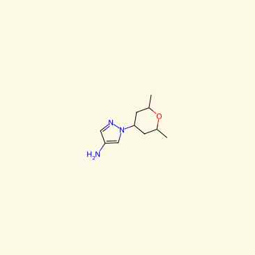 CC1CC(n2cc(N)cn2)CC(C)O1